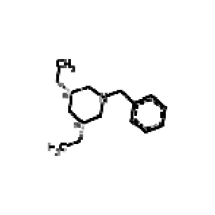 CC[C@@H]1C[C@H](CC)CN(Cc2ccccc2)C1